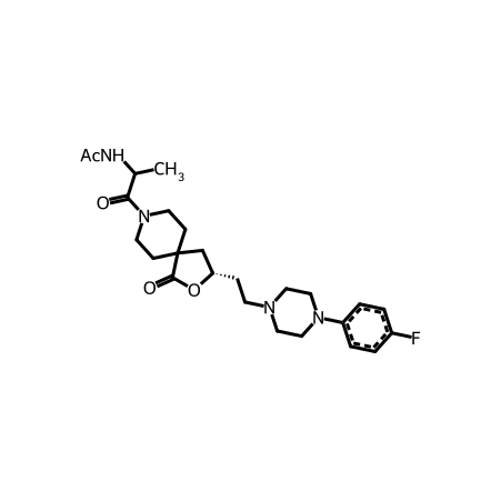 CC(=O)NC(C)C(=O)N1CCC2(CC1)C[C@H](CCN1CCN(c3ccc(F)cc3)CC1)OC2=O